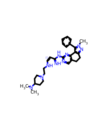 CN(C)C1CCN(CCN/C=C\C(=N)Nc2ncc3c(n2)-c2c(nn(C)c2-c2ccccc2)CC3)CC1